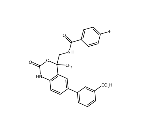 O=C1Nc2ccc(-c3cccc(C(=O)O)c3)cc2C(CNC(=O)c2ccc(F)cc2)(C(F)(F)F)O1